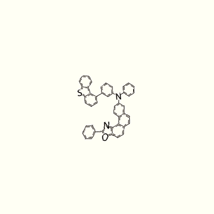 c1ccc(-c2nc3c(ccc4ccc5cc(N(c6ccccc6)c6cccc(-c7cccc8sc9ccccc9c78)c6)ccc5c43)o2)cc1